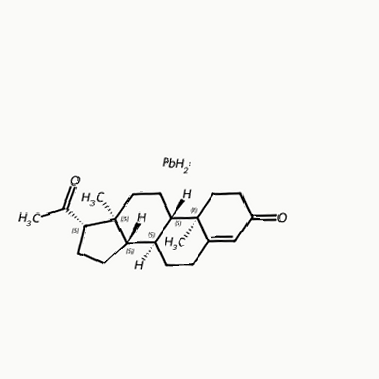 CC(=O)[C@H]1CC[C@H]2[C@@H]3CCC4=CC(=O)CC[C@]4(C)[C@H]3CC[C@]12C.[PbH2]